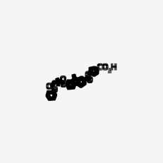 CC1c2cc(OC(=O)C(C)(C)CC(=O)OC3CCCCC3)ccc2-c2ccc(C(=O)Oc3ccc(C(=O)O)cc3)cc21